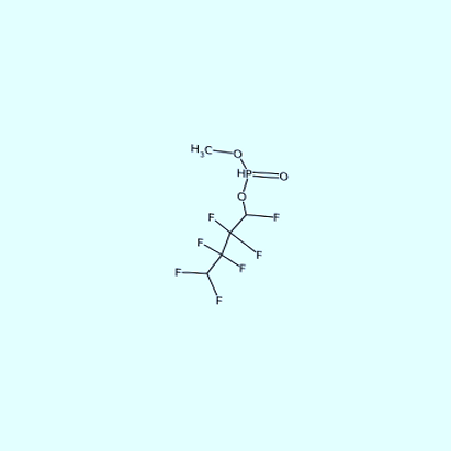 CO[PH](=O)OC(F)C(F)(F)C(F)(F)C(F)F